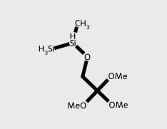 COC(CO[SiH](C)[SiH3])(OC)OC